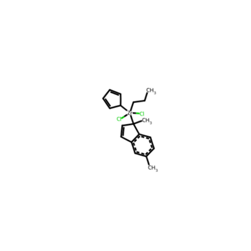 CC[CH2][Zr]([Cl])([Cl])([CH]1C=CC=C1)[C]1(C)C=Cc2cc(C)ccc21